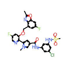 Cc1nc2c(COc3cc(F)cnc3-c3cc(C(=O)Nc4cc(Cl)cc(NS(C)(=O)=O)c4)cn3C)cc(F)cc2o1